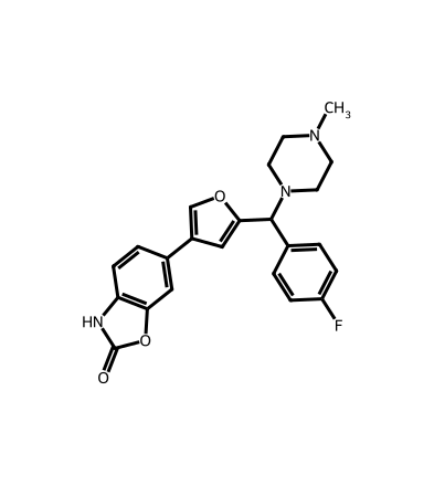 CN1CCN(C(c2ccc(F)cc2)c2cc(-c3ccc4[nH]c(=O)oc4c3)co2)CC1